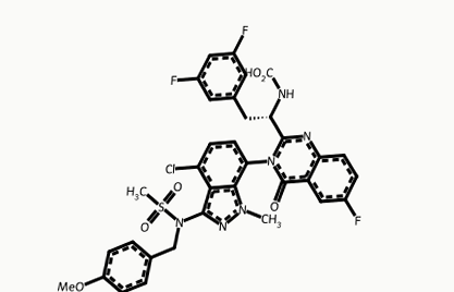 COc1ccc(CN(c2nn(C)c3c(-n4c([C@H](Cc5cc(F)cc(F)c5)NC(=O)O)nc5ccc(F)cc5c4=O)ccc(Cl)c23)S(C)(=O)=O)cc1